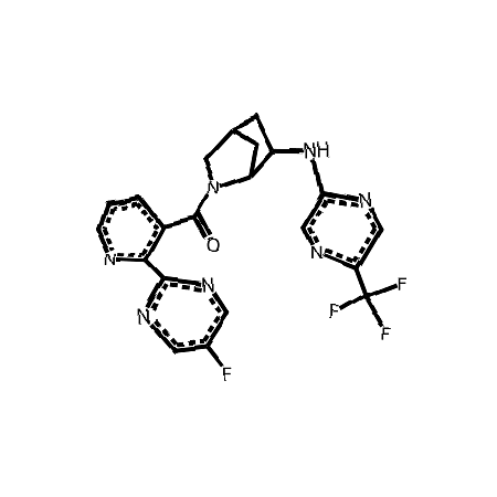 O=C(c1cccnc1-c1ncc(F)cn1)N1CC2CC(Nc3cnc(C(F)(F)F)cn3)C1C2